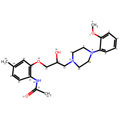 COc1ccccc1N1CCN(CC(O)COc2cc(C)ccc2NC(C)=O)CC1